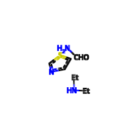 CCNCC.NC=O.c1cscn1